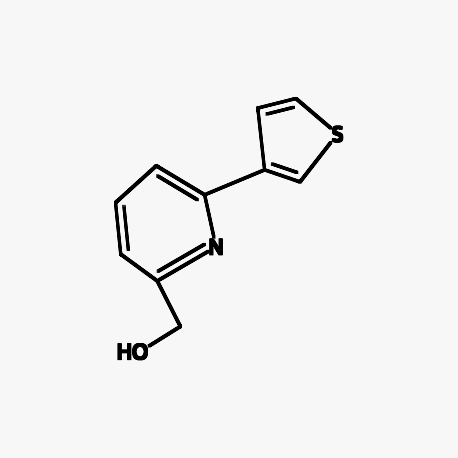 OCc1cccc(-c2ccsc2)n1